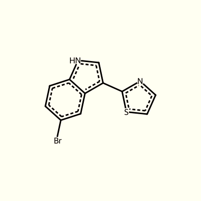 Brc1ccc2[nH]cc(-c3nccs3)c2c1